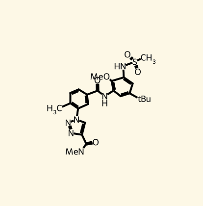 CNC(=O)c1cn(-c2cc(C(=O)Nc3cc(C(C)(C)C)cc(NS(C)(=O)=O)c3OC)ccc2C)nn1